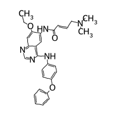 CCOc1cc2ncnc(Nc3ccc(Oc4ccccc4)cc3)c2cc1NC(=O)C=CCN(C)C